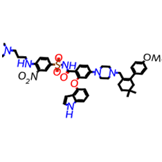 COc1ccc(C2=C(CN3CCN(c4ccc(C(=O)NS(=O)(=O)c5ccc(NCCCN6CCCC6)c([N+](=O)[O-])c5)c(Oc5cccc6[nH]ccc56)c4)CC3)CCC(C)(C)C2)cc1